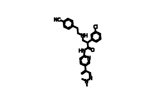 C=C(/C=N\N(C)C)c1ccc(NC(=O)C(CNCCc2ccc(C#N)cc2)c2cccc(Cl)c2)nc1